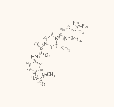 C[C@@H]1CN(C(=O)C(=O)Nc2ccc3[nH]c(=O)n(C)c3c2)CCN1C1=NC(I)C(C(F)(F)F)C=C1